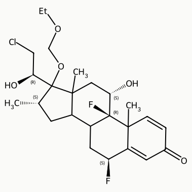 CCOCOC1([C@@H](O)CCl)[C@@H](C)CC2C3C[C@H](F)C4=CC(=O)C=CC4(C)[C@@]3(F)[C@@H](O)CC21C